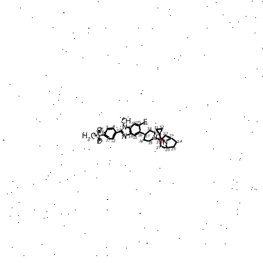 Cn1c(-c2ccc(S(C)(=O)=O)cc2)nc2cc(C3CCN(C4CC5CCC(C4)N5CC4CC4)CC3)c(F)cc21